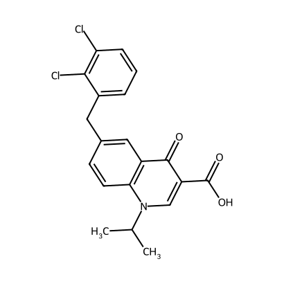 CC(C)n1cc(C(=O)O)c(=O)c2cc(Cc3cccc(Cl)c3Cl)ccc21